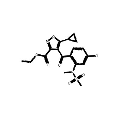 CCOC(=O)c1noc(C2CC2)c1C(=O)c1ccc(Cl)cc1N(C)S(C)(=O)=O